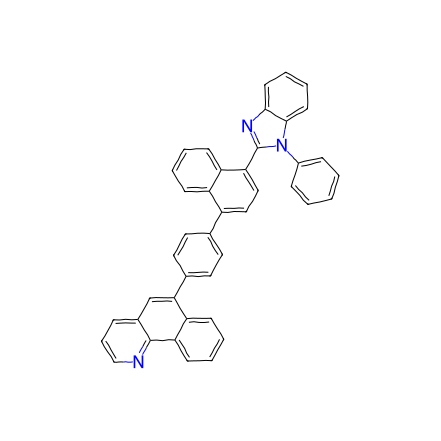 c1ccc(-n2c(-c3ccc(-c4ccc(-c5cc6cccnc6c6ccccc56)cc4)c4ccccc34)nc3ccccc32)cc1